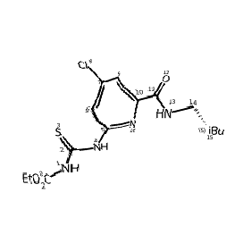 CCOC(=O)NC(=S)Nc1cc(Cl)cc(C(=O)NC[C@@H](C)CC)n1